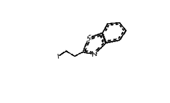 ICCc1nc2ccccc2s1